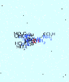 CC(C)C[C@H](N)C(=O)O.CCCC[C@H](N)C(=O)O.CCCC[C@H](NC=O)C(=O)O.NCCCC[C@H](N)C(=O)O.N[C@@H](Cc1ccc(O)cc1)C(=O)O.N[C@@H](Cc1ccccc1)C(=O)O